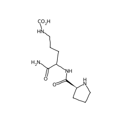 NC(=O)C(CCCNC(=O)O)NC(=O)[C@@H]1CCCN1